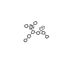 c1ccc(-c2ccc(-c3cc(-c4ccc5c(c4)C4(c6ccc(-c7ccccc7)cc6-5)C5CC6CC(C5)CC4C6)cc(-c4nc(-c5ccccc5)nc(-c5ccccc5)n4)c3)cc2)cc1